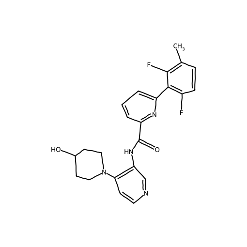 Cc1ccc(F)c(-c2cccc(C(=O)Nc3cnccc3N3CCC(O)CC3)n2)c1F